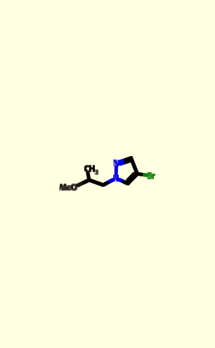 COC(C)Cn1cc(Br)cn1